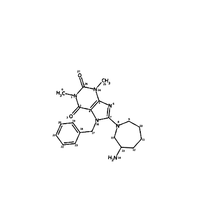 Cn1c(=O)c2c(nc(N3CCCCC(N)C3)n2Cc2ccccc2)n(C)c1=O